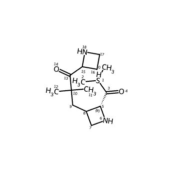 C[SH](C)C(=O)[C@@H]1NCC1CC(C)(C)C(=O)C1CCN1